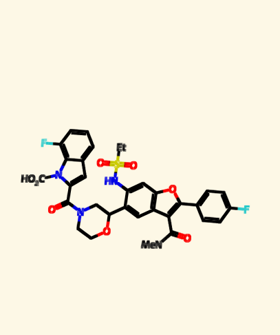 CCS(=O)(=O)Nc1cc2oc(-c3ccc(F)cc3)c(C(=O)NC)c2cc1C1CN(C(=O)c2cc3cccc(F)c3n2C(=O)O)CCO1